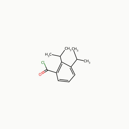 CC(C)c1cccc(C(=O)Cl)c1C(C)C